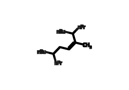 CCCCC(CC=C(C)C(CCC)CCCC)CCC